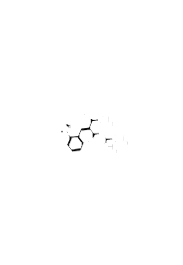 CC(=O)C(=Cc1ccccc1[N+](=O)[O-])C(=O)OC(C)C